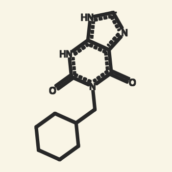 O=c1[nH]c2[nH][c]nc2c(=O)n1CC1CCCCC1